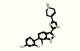 CCc1cc(O)ccc1-c1ccc2c(-c3nc(C4=CCN(CC)CC4)c[nH]3)n[nH]c2c1F